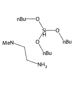 CCCCO[SiH](OCCCC)OCCCC.CNCCN